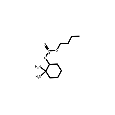 CCCCO[PH](=O)OC1CCCCC1(N)N